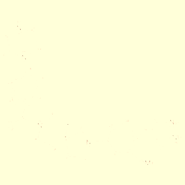 COc1cc(N2CCC3(CCN(C(=O)c4ccc(N5CCNCC5)cc4)CC3)C2)ccc1-c1cn[nH]c1